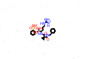 N=C(N)NCCCC(NC(=O)C1(C(=O)NCc2ccccc2)CC1)B(O)O.O=S(=O)(O)c1ccccc1